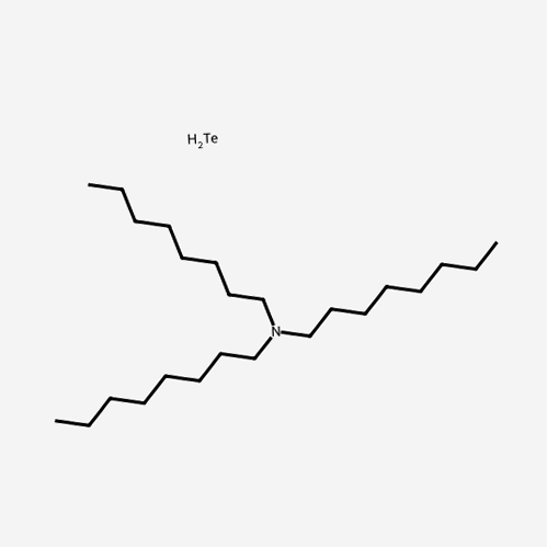 CCCCCCCCN(CCCCCCCC)CCCCCCCC.[TeH2]